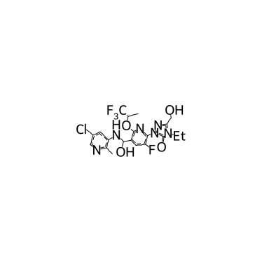 CCn1c(CO)nn(-c2nc(O[C@@H](C)C(F)(F)F)c(C(O)Nc3cc(Cl)cnc3C)cc2F)c1=O